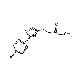 CCC(=O)OCc1csc(-c2ccc(F)cc2)n1